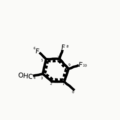 Cc1cc(C=O)c(F)c(F)c1F